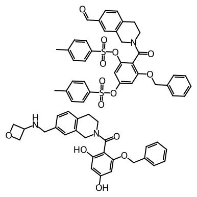 Cc1ccc(S(=O)(=O)Oc2cc(OCc3ccccc3)c(C(=O)N3CCc4ccc(C=O)cc4C3)c(OS(=O)(=O)c3ccc(C)cc3)c2)cc1.O=C(c1c(O)cc(O)cc1OCc1ccccc1)N1CCc2ccc(CNC3COC3)cc2C1